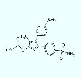 CCCC(=O)On1nc(-c2ccc(S(N)(=O)=O)cc2)c(-c2ccc(SC)cc2)c1C(F)(F)F